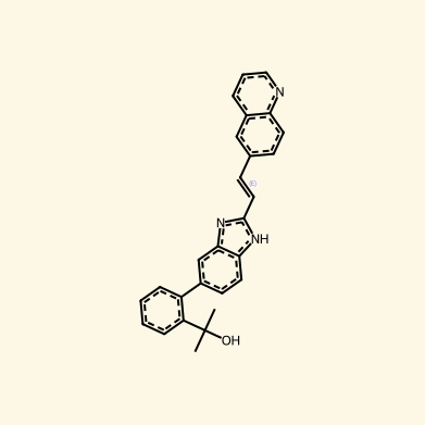 CC(C)(O)c1ccccc1-c1ccc2[nH]c(/C=C/c3ccc4ncccc4c3)nc2c1